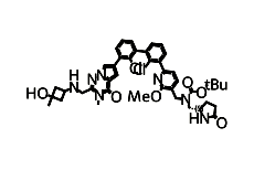 COc1nc(-c2cccc(-c3cccc(-c4cc5c(=O)n(C)c(CNC6CC(C)(O)C6)nn5c4)c3Cl)c2Cl)ccc1CN(C[C@@H]1CCC(=O)N1)C(=O)OC(C)(C)C